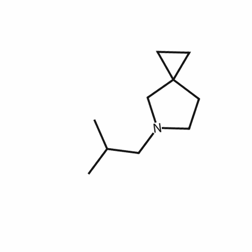 CC(C)CN1CCC2(CC2)C1